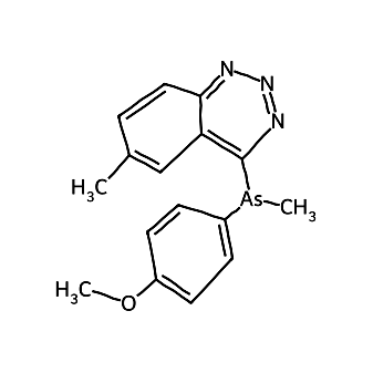 COc1ccc([As](C)c2nnnc3ccc(C)cc23)cc1